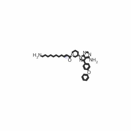 NCCCCCCCC/C=C/C(=O)N1CCC[C@@H](n2nc(-c3ccc(Oc4ccccc4)cc3)c3c(N)ncnc32)C1